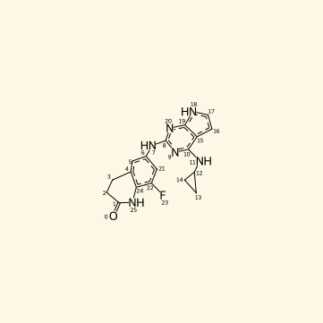 O=C1CCc2cc(Nc3nc(NC4CC4)c4cc[nH]c4n3)cc(F)c2N1